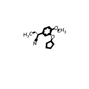 CC[C@@H](C#N)c1ccc(OC)c(OC2CCCC2)c1